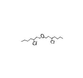 CCCCC(Cl)CCOCCC(Cl)CCCC